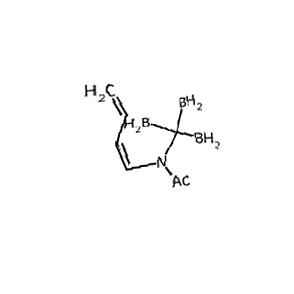 BC(B)(B)N(/C=C\C=C)C(C)=O